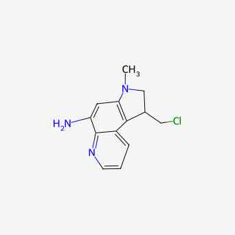 CN1CC(CCl)c2c1cc(N)c1ncccc21